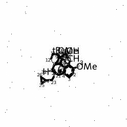 COc1ccc2c3c1O[C@H]1[C@@]4(OC)CC[C@@]5(C[C@@H]4[C@](C)(O)C(C)(C)C)[C@@H](C2)N(CC2CC2)CC[C@]315